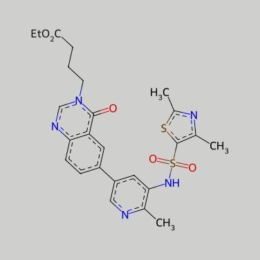 CCOC(=O)CCCn1cnc2ccc(-c3cnc(C)c(NS(=O)(=O)c4sc(C)nc4C)c3)cc2c1=O